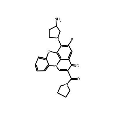 NC1CCN(c2c(F)cc3c(=O)c(C(=O)N4CCCC4)cn4c3c2Oc2ccccc2-4)C1